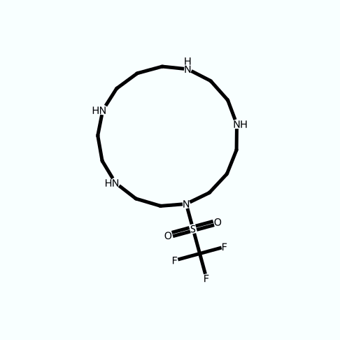 O=S(=O)(N1CCCNCCNCCCNCCNCC1)C(F)(F)F